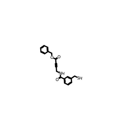 O=C(C#CCNC(=O)c1cccc(CS)c1)OCc1ccccc1